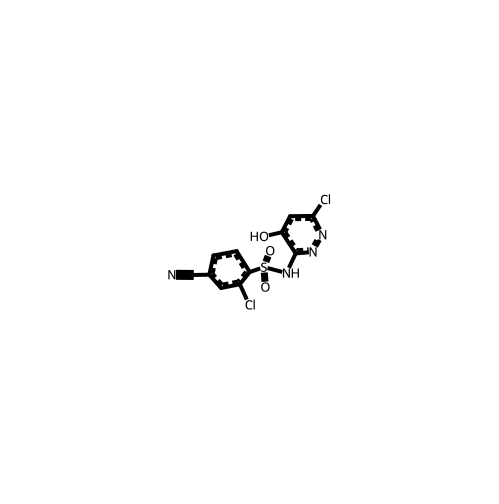 N#Cc1ccc(S(=O)(=O)Nc2nnc(Cl)cc2O)c(Cl)c1